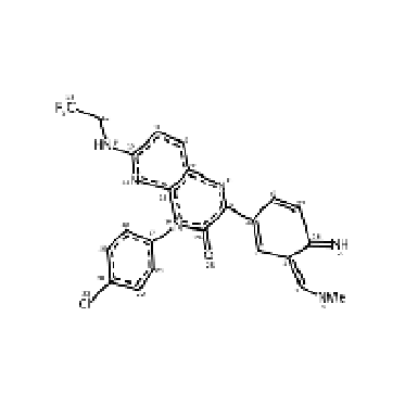 CN/C=C1/C=C(c2nc3ccc(NCC(F)(F)F)nc3n(-c3ccc(Cl)cc3)c2=O)C=CC1=N